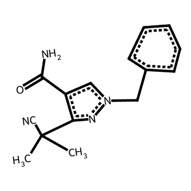 CC(C)(C#N)c1nn(Cc2ccccc2)cc1C(N)=O